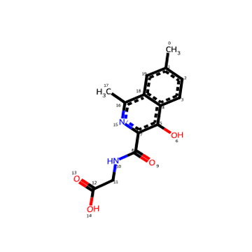 Cc1ccc2c(O)c(C(=O)NCC(=O)O)nc(C)c2c1